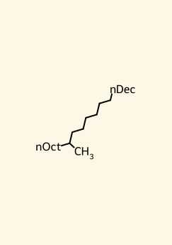 [CH2]CCCCCCCCCCCCCCCC(C)CCCCCCC[CH2]